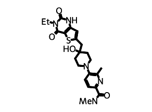 CCn1c(=O)[nH]c2cc(CC3(O)CCN(c4ccc(C(=O)NC)nc4C)CC3)sc2c1=O